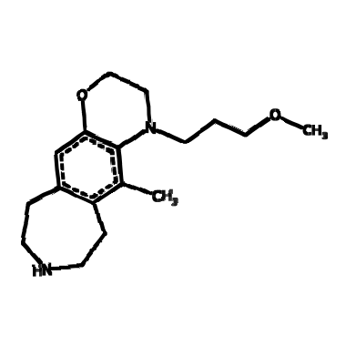 COCCCN1CCOc2cc3c(c(C)c21)CCNCC3